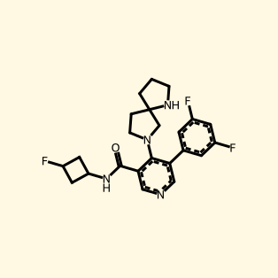 O=C(NC1CC(F)C1)c1cncc(-c2cc(F)cc(F)c2)c1N1CCC2(CCCN2)C1